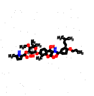 CCCOc1ccc(C(=O)Nc2c(O)c3ccc(O[C@@H]4OC(C)(C)[C@H](OC)[C@@H](OC(=O)c5ccc(C)[nH]5)[C@H]4O)c(C)c3oc2=O)cc1CCC(C)C